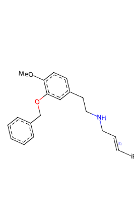 COc1ccc(CCNC/C=C/C(C)C)cc1OCc1ccccc1